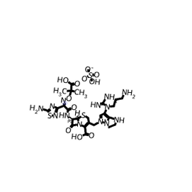 CC(C)(O/N=C(\C(=O)N[C@@H]1C(=O)N2C(C(=O)O)=C(C[n+]3cc(N(CCCN)C(=N)N)c4n3CCN4)CS[C@H]12)c1nsc(N)n1)C(=O)O.O=S(=O)([O-])O